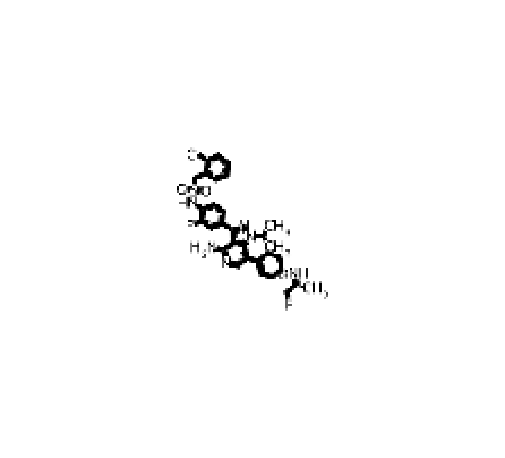 CC(C)n1nc(-c2ccc(NS(=O)(=O)Cc3ccccc3Cl)c(F)c2)c2c(N)ncc(C3=CC[C@@H](N[C@H](C)CF)CC3)c21